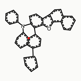 c1ccc(-c2ccc(-c3c(N(c4ccccc4)c4ccccc4)ccc4c3oc3c5ccccc5ccc43)cc2)cc1